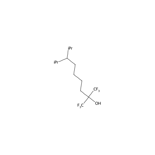 CC(C)C(CCCCC(O)(C(F)(F)F)C(F)(F)F)C(C)C